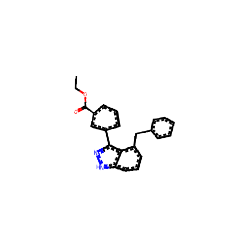 CCOC(=O)c1cccc(-c2n[nH]c3cccc(Cc4ccccc4)c23)c1